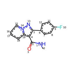 CNC(=O)c1c(-c2ccc(F)cc2)nn2cc[c]cc12